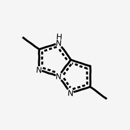 Cc1cc2[nH]c(C)nn2n1